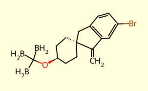 BC(B)(B)O[C@H]1CC[C@]2(CC1)Cc1ccc(Br)cc1C2=C